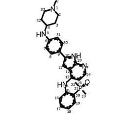 CN1CCC(Nc2ccc(-c3cc4c(Nc5ccccc5P(C)(C)=O)ccnc4[nH]3)cc2)CC1